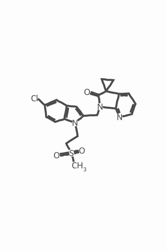 CS(=O)(=O)CCn1c(CN2C(=O)C3(CC3)c3cccnc32)cc2cc(Cl)ccc21